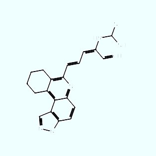 C=C/C(=C\C=C\c1nc2ccc3[nH]ncc3c2c2c1CCCC2)NC(N)N